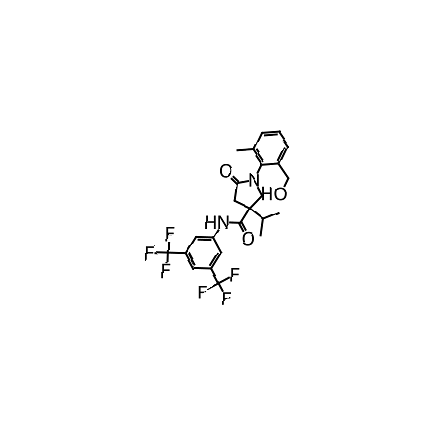 Cc1cccc(CO)c1N1CC(C(=O)Nc2cc(C(F)(F)F)cc(C(F)(F)F)c2)(C(C)C)CC1=O